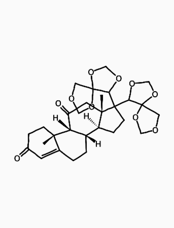 C[C@]12CCC(=O)C=C1CC[C@@H]1[C@H]2C(=O)C[C@@]2(C)[C@H]1CCC2(C1OCOC12COCO2)C1OCOC12COCO2